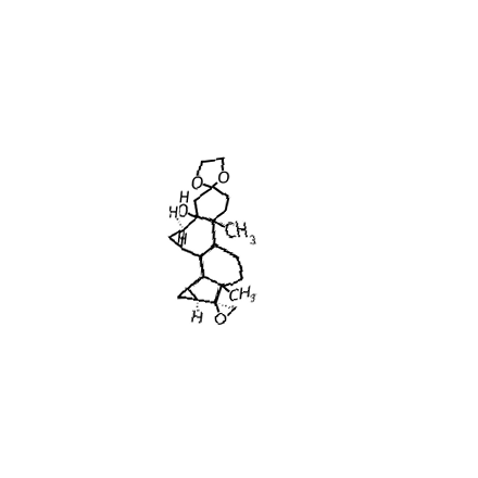 CC12CCC3(CC1(O)[C@@H]1C[C@@H]1C1C2CCC2(C)C1C1C[C@@H]1[C@@]21CO1)OCCO3